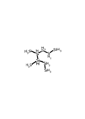 [SiH3][SiH2][SiH2][SiH]([SiH3])[SiH]([SiH3])[SiH2][SiH3]